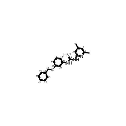 Cc1cc(C)nc(NC(=N)Nc2cccc(OCc3ccccc3)c2)c1